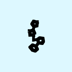 c1ccc(-c2ccccc2Cn2cnc(-c3ccsc3)c2)cc1